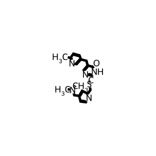 Cc1ccc(Cc2cnc(CSCc3cc(CN(C)C)ccn3)[nH]c2=O)cn1